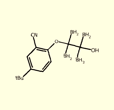 BC(B)(O)C(B)(B)Oc1ccc(C(C)(C)C)cc1C#N